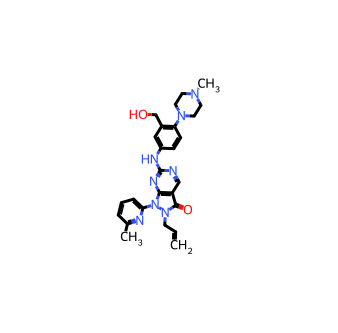 C=CCn1c(=O)c2cnc(Nc3ccc(N4CCN(C)CC4)c(CO)c3)nc2n1-c1cccc(C)n1